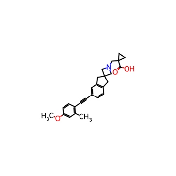 COc1ccc(C#Cc2ccc3c(c2)CC2(C3)CN(CC3(C(=O)O)CC3)C2)c(C)c1